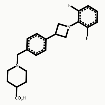 O=C(O)C1CCN(Cc2ccc(C3CN(c4c(F)cccc4F)C3)cc2)CC1